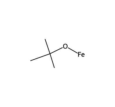 CC(C)(C)[O][Fe]